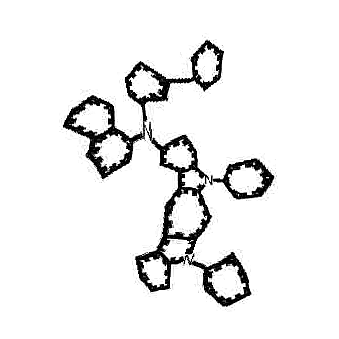 c1ccc(-c2cccc(N(c3ccc4c(c3)c3cc5c6ccccc6n(-c6ccccc6)c5cc3n4-c3ccccc3)c3cccc4ccccc34)c2)cc1